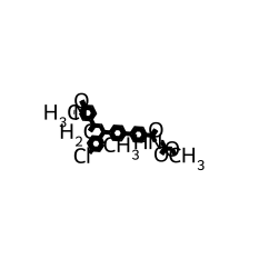 C=C(CC(c1ccc(-c2ccc(C(=O)NCC(=O)OC)cc2)cc1)c1ccc(Cl)cc1C)c1ccc(=O)n(C)c1